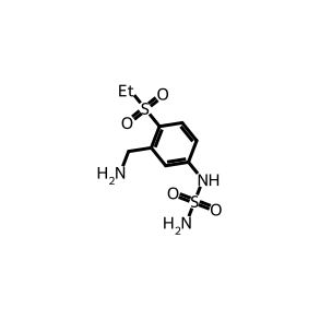 CCS(=O)(=O)c1ccc(NS(N)(=O)=O)cc1CN